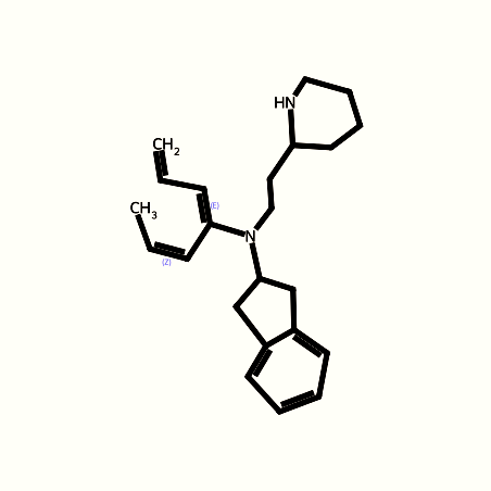 C=C/C=C(\C=C/C)N(CCC1CCCCN1)C1Cc2ccccc2C1